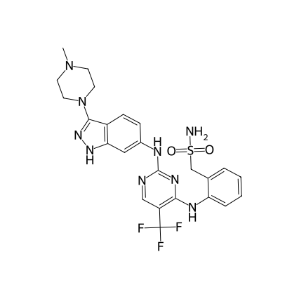 CN1CCN(c2n[nH]c3cc(Nc4ncc(C(F)(F)F)c(Nc5ccccc5CS(N)(=O)=O)n4)ccc23)CC1